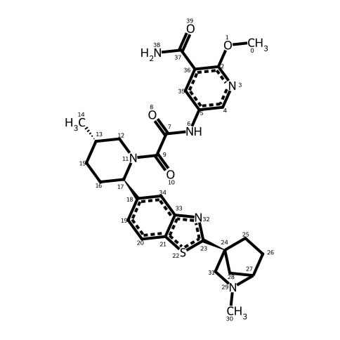 COc1ncc(NC(=O)C(=O)N2C[C@@H](C)CC[C@@H]2c2ccc3sc([C@@]45CCC(C4)N(C)C5)nc3c2)cc1C(N)=O